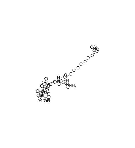 CC(=O)O[C@H]1C(=O)[C@@]2(C)[C@H]([C@H](OC(=O)c3ccccc3)[C@]3(O)C[C@H](OC(=O)[C@H](OC(=O)OCc4ccc(NC(=O)C(CCCNC(N)=O)NC(=O)C(CC(=O)CCOCCOCCOCCOCCOCCOCCOCCC(=O)ON5C(=O)CCC5=O)C(C)C)cc4)[C@@H](NC(=O)c4ccccc4)c4ccccc4)C(C)=C1C3(C)C)[C@]1(OC(C)=O)CO[C@@H]1C[C@@H]2O